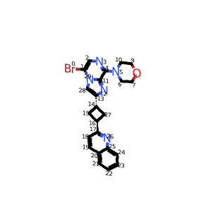 Brc1cnc(N2CCOCC2)c2nc([C@H]3C[C@H](c4ccc5ccccc5n4)C3)cn12